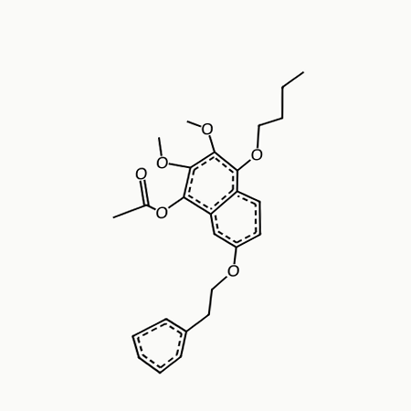 CCCCOc1c(OC)c(OC)c(OC(C)=O)c2cc(OCCc3ccccc3)ccc12